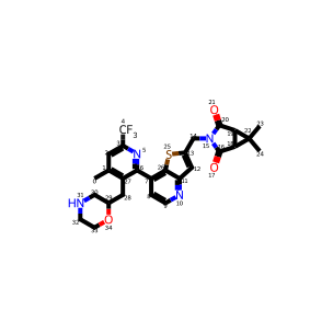 Cc1cc(C(F)(F)F)nc(-c2ccnc3cc(CN4C(=O)C5C(C4=O)C5(C)C)sc23)c1CC1CNCCO1